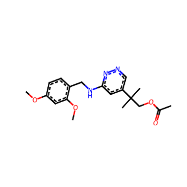 COc1ccc(CNc2cc(C(C)(C)COC(C)=O)cnn2)c(OC)c1